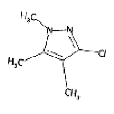 Cc1c(Cl)nn(C)c1C